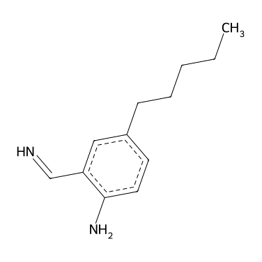 CCCCCc1ccc(N)c(C=N)c1